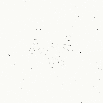 c1ccc(-c2nc3ccc(-c4cc(-n5c6ccccc6c6cc7c8c9ccccc9c(-c9ccccc9)cc8n(-c8ccccc8)c7cc65)c5ccccc5c4)cc3nc2-c2ccccc2)cc1